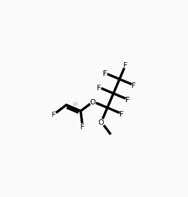 COC(F)(O/C(F)=C/F)C(F)(F)C(F)(F)F